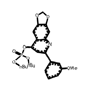 CCCCOP(=O)(OCCCC)Oc1cc(-c2cccc(OC)c2)nc2cc3c(cc12)OCO3